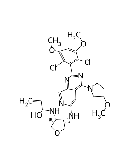 C=CC(O)N[C@H]1COC[C@H]1Nc1cc2c(N3CCC(OC)C3)nc(-c3c(Cl)c(OC)cc(OC)c3Cl)nc2cn1